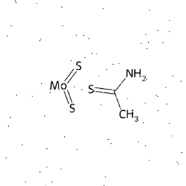 CC(N)=S.[S]=[Mo]=[S]